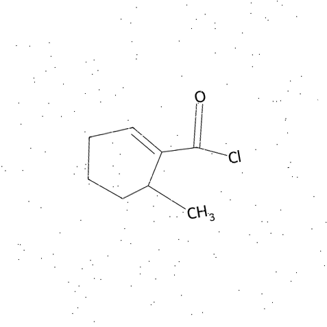 CC1CCCC=C1C(=O)Cl